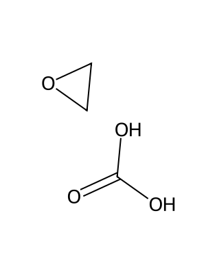 C1CO1.O=C(O)O